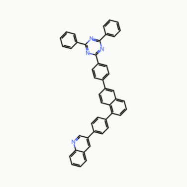 c1ccc(-c2nc(-c3ccccc3)nc(-c3ccc(-c4ccc5c(-c6ccc(-c7cnc8ccccc8c7)cc6)cccc5c4)cc3)n2)cc1